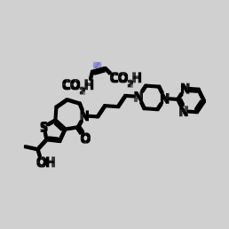 CC(O)c1cc2c(s1)CCCN(CCCCN1CCN(c3ncccn3)CC1)C2=O.O=C(O)/C=C\C(=O)O